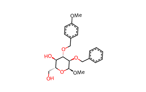 COc1ccc(CO[C@H]2[C@H](O)[C@@H](CO)O[C@H](OC)[C@@H]2OCc2ccccc2)cc1